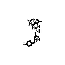 Cc1cn2c3c(nc(NCc4cnn(Cc5ccc(F)cc5)c4)nc13)N(C)[C@@H](C)C2